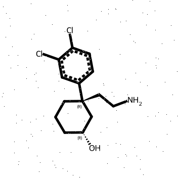 NCC[C@]1(c2ccc(Cl)c(Cl)c2)CCC[C@@H](O)C1